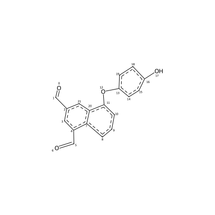 O=Cc1cc(C=O)c2cccc(Oc3ccc(O)cc3)c2c1